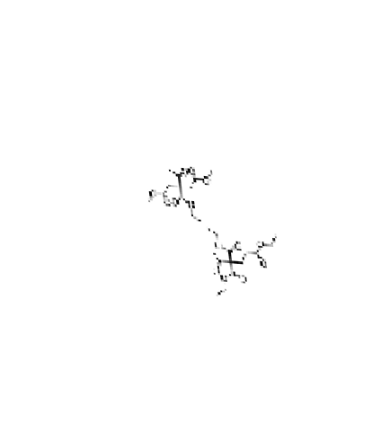 CCOC(=O)C(CC(=O)OC)(CC(=O)OC)C(C)=O.CCOC(=O)CCC(C(C)=O)(C(=O)OCC)C(=O)OCC